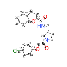 O=C(NCC1CCN(C(=O)COc2ccc(Cl)cc2)C1)C1CCc2ccccc2O1